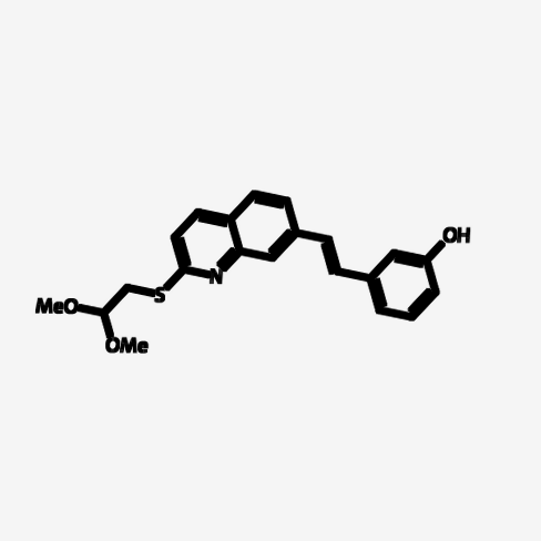 COC(CSc1ccc2ccc(C=Cc3cccc(O)c3)cc2n1)OC